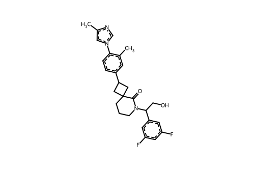 Cc1cn(-c2ccc(C3CC4(CCCN(C(CO)c5cc(F)cc(F)c5)C4=O)C3)cc2C)cn1